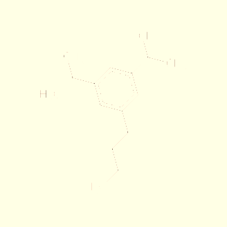 CCCCc1cc(C(C)C)cc(C(C)C)c1